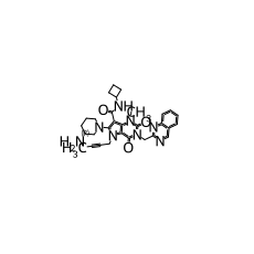 CC#CCn1c(N2CCC[C@@H](N)C2)c(C(=O)NC2CCC2)c2c1c(=O)n(Cc1ncc3ccccc3n1)c(=O)n2C